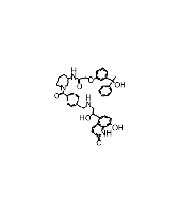 CC(O)(c1ccccc1)c1cccc(OCC(=O)NC2CCCN(C(=O)c3ccc(CNCC(O)c4ccc(O)c5[nH]c(=O)ccc45)cc3)C2)c1